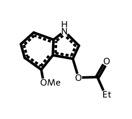 CCC(=O)Oc1c[nH]c2cccc(OC)c12